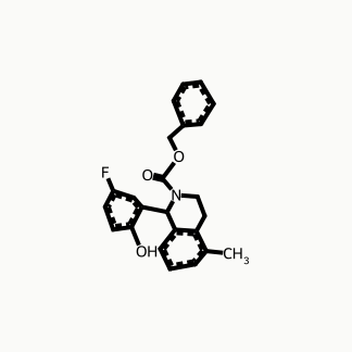 Cc1cccc2c1CCN(C(=O)OCc1ccccc1)C2c1cc(F)ccc1O